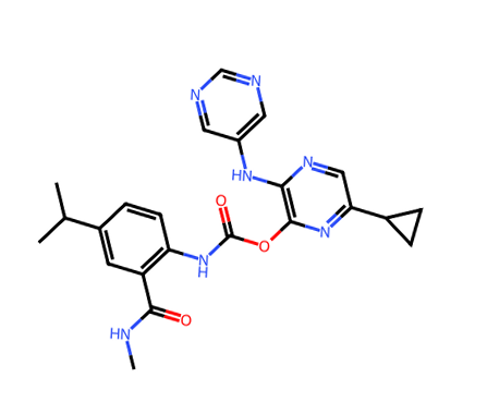 CNC(=O)c1cc(C(C)C)ccc1NC(=O)Oc1nc(C2CC2)cnc1Nc1cncnc1